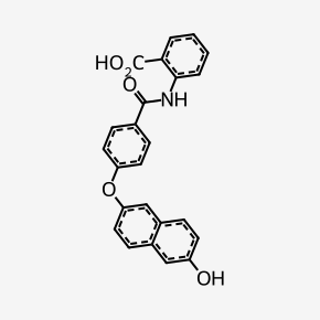 O=C(Nc1ccccc1C(=O)O)c1ccc(Oc2ccc3cc(O)ccc3c2)cc1